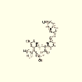 CN(C)C(=O)c1cc(Cl)ccc1CCC(c1cccc(OCc2ccc3ccc(Cl)cc3n2)c1)[S+]([O-])CCC(=O)O